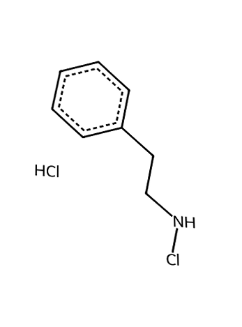 Cl.ClNCCc1ccccc1